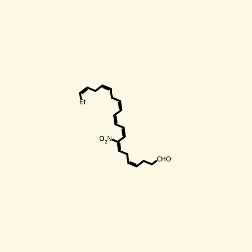 CC/C=C\C/C=C\C\C=C/C=C\C=C/C(=C\C/C=C\CC[C]=O)[N+](=O)[O-]